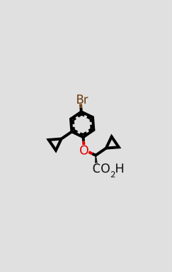 O=C(O)[C@@H](Oc1ccc(Br)cc1C1CC1)C1CC1